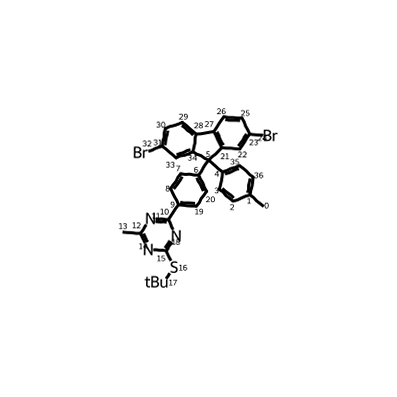 Cc1ccc(C2(c3ccc(-c4nc(C)nc(SC(C)(C)C)n4)cc3)c3cc(Br)ccc3-c3ccc(Br)cc32)cc1